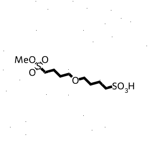 COS(=O)(=O)CCCCOCCCCS(=O)(=O)O